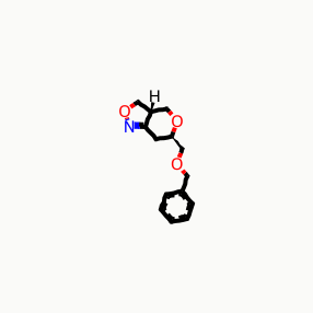 c1ccc(COC[C@H]2CC3=NOC[C@@H]3CO2)cc1